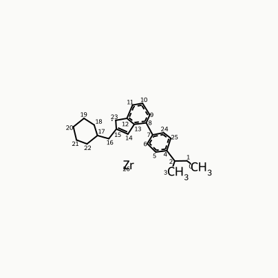 CCC(C)c1ccc(-c2cccc3c2C=C(CC2CCCCC2)[CH]3)cc1.[Zr]